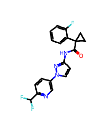 O=C(Nc1ccn(-c2ccc(C(F)F)nc2)n1)C1(c2ccccc2F)CC1